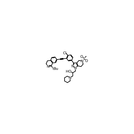 CC(C)(C)C1=NCCc2ccc(C#Cc3cc(-c4nn(CC(O)CN5CCCCC5)c5c4CN(S(C)(=O)=O)CC5)ccc3Cl)cc21